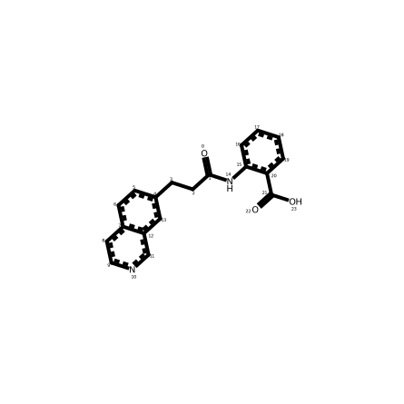 O=C(CCc1ccc2ccncc2c1)Nc1ccccc1C(=O)O